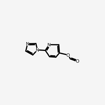 O=COc1ccc(-n2ccnc2)nc1